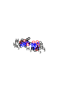 CN[C@@H](C)C(=O)N[C@H](C(=O)N1Cc2ccccc2C[C@H]1CN(Cc1cccc2ccccc12)C(=O)c1ccc(C(=O)N[C@H]2C[C@@H](C(=O)N[C@@H]3CCCc4ccccc43)N(C(=O)[C@@H](NC(=O)[C@H](C)NC)C(C)(C)C)C2)cc1)C(C)(C)C